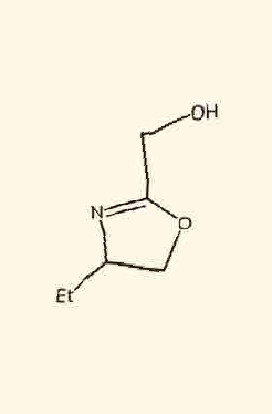 CCC1COC(CO)=N1